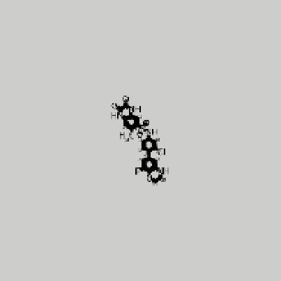 Cc1cc2[nH]c(=O)c(=O)[nH]c2cc1S(=O)(=O)Nc1ccc(-c2cc(F)c3c(c2)NCCO3)c(Cl)c1